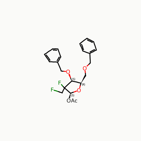 CC(=O)O[C@@H]1O[C@H](COCc2ccccc2)[C@H](OCc2ccccc2)C1(F)CF